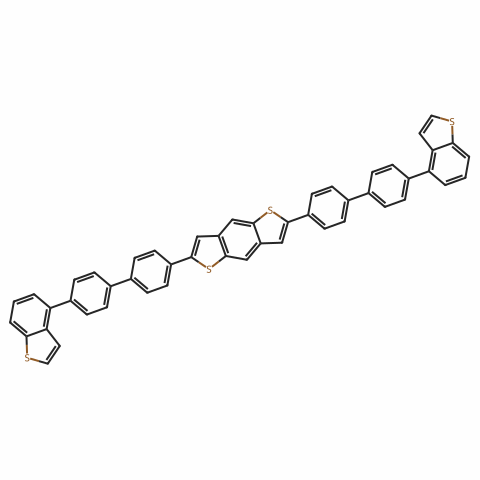 c1cc(-c2ccc(-c3ccc(-c4cc5cc6sc(-c7ccc(-c8ccc(-c9cccc%10sccc9%10)cc8)cc7)cc6cc5s4)cc3)cc2)c2ccsc2c1